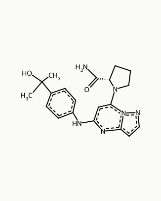 CC(C)(O)c1ccc(Nc2cc(N3CCC[C@H]3C(N)=O)n3nccc3n2)cc1